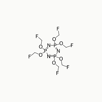 FCOP1(OCF)=NP(OCF)(OCF)=NP(OCF)(OCF)=N1